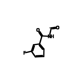 O=[C]NC(=O)c1cccc(F)c1